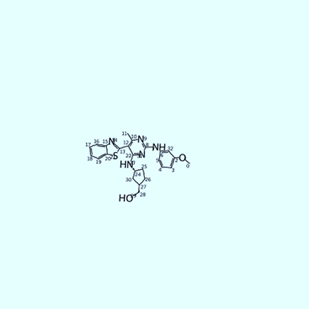 COc1cccc(Nc2nc(C)c(-c3nc4ccccc4s3)c(N[C@H]3CC[C@@H](CO)C3)n2)c1